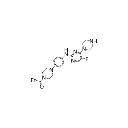 CCC(=O)N1CCN(c2ccc(Nc3ncc(F)c(N4CCNCC4)n3)cc2)CC1